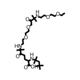 CCOCCOCCNC(C)(C)C(=O)COCCOCCNC(C)(C)C(=O)CCC(NC(C)(C)CC(C)(C)C)C(=O)O